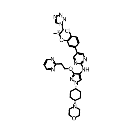 C[C@@H](Cn1cnnn1)Oc1cc(-c2cnc(Nc3cn([C@H]4CC[C@H](N5CCOCC5)CC4)nc3OCCc3ncccn3)nc2)ccc1Cl